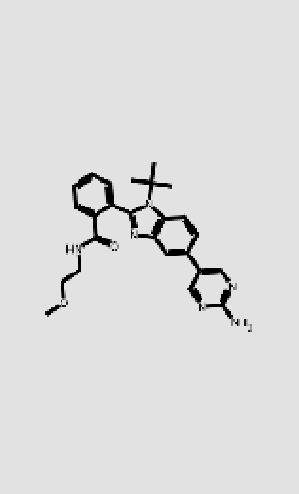 COCCNC(=O)c1ccccc1-c1nc2cc(-c3cnc(N)nc3)ccc2n1C(C)(C)C